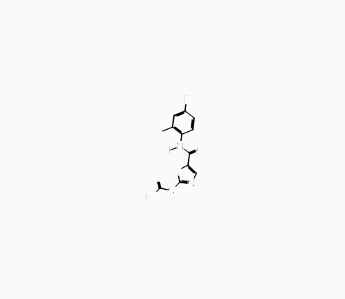 Cc1cc(F)ccc1N(Cl)C(=O)c1cnc(NC(=O)O)s1